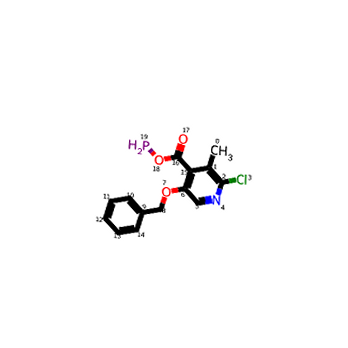 Cc1c(Cl)ncc(OCc2ccccc2)c1C(=O)OP